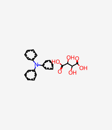 O=C(O)C(O)C(O)C(=O)O.c1ccc(N(c2ccccc2)c2ccccc2)cc1